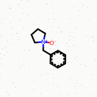 [O-][N+]1(Cc2ccccc2)CCCC1